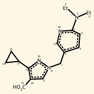 CCN(CC)c1ccc(Cn2cc(C(=O)O)c(C3CC3)n2)cn1